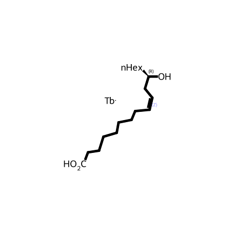 CCCCCC[C@@H](O)C/C=C\CCCCCCCC(=O)O.[Tb]